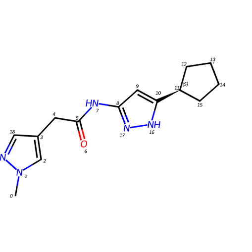 Cn1cc(CC(=O)Nc2cc([C@H]3C[CH]CC3)[nH]n2)cn1